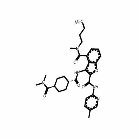 COCCCN(C)C(=O)c1cccc2oc(C(=O)Nc3ccc(C)cn3)c(NC(=O)[C@H]3CC[C@H](C(=O)N(C)C)CC3)c12